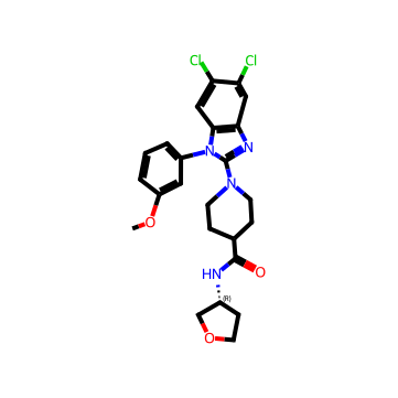 COc1cccc(-n2c(N3CCC(C(=O)N[C@@H]4CCOC4)CC3)nc3cc(Cl)c(Cl)cc32)c1